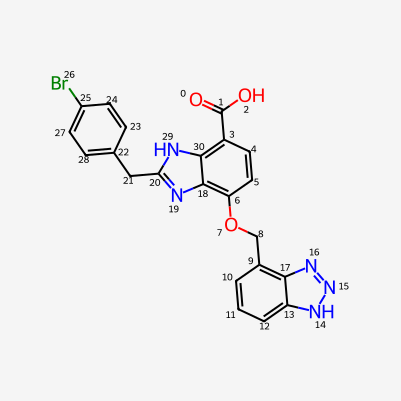 O=C(O)c1ccc(OCc2cccc3[nH]nnc23)c2nc(Cc3ccc(Br)cc3)[nH]c12